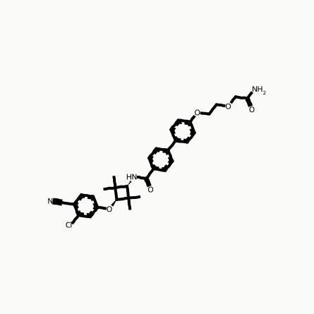 CC1(C)[C@H](NC(=O)c2ccc(-c3ccc(OCCOCC(N)=O)cc3)cc2)C(C)(C)[C@H]1Oc1ccc(C#N)c(Cl)c1